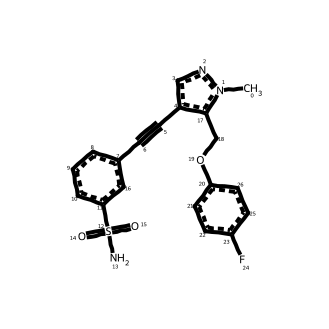 Cn1ncc(C#Cc2cccc(S(N)(=O)=O)c2)c1COc1ccc(F)cc1